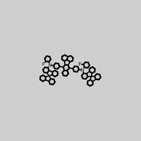 Fc1ccccc1N(c1ccc(-c2c3c(c(-c4ccc(N(c5ccccc5F)c5cccc6c5-c5ccccc5C65c6ccccc6-c6ccccc65)cc4)c4ccccc24)-c2cccc4cccc-3c24)cc1)c1cccc2c1-c1ccccc1C21c2ccccc2-c2ccccc21